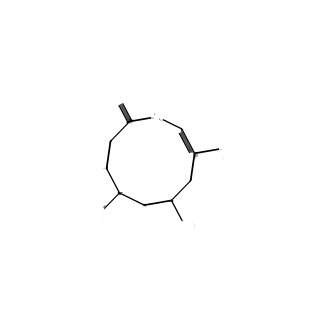 CCC(C)C1CCC(=O)N/C=C(/C(C)C)CC(C(C)C)C1